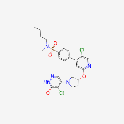 CCCCN(C)S(=O)(=O)c1ccc(-c2cc(O[C@@H]3CCN(c4cn[nH]c(=O)c4Cl)C3)ncc2Cl)cc1